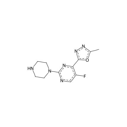 Cc1nnc(-c2nc(N3CCNCC3)ncc2F)o1